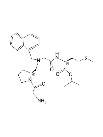 CSCC[C@H](NC(=O)CN(Cc1cccc2ccccc12)C[C@@H]1CCCN1C(=O)CN)C(=O)OC(C)C